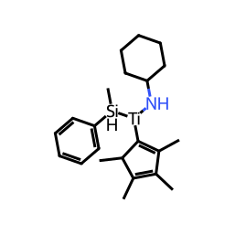 CC1=C(C)C(C)[C]([Ti]([NH]C2CCCCC2)[SiH](C)c2ccccc2)=C1C